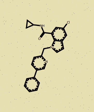 O=C(NC1[CH]C1)c1cc(Cl)cc2ccn(Cc3ccc(-c4ccccc4)cn3)c12